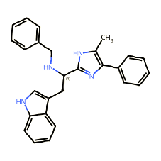 Cc1[nH]c([C@@H](Cc2c[nH]c3ccccc23)NCc2ccccc2)nc1-c1ccccc1